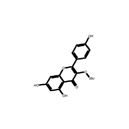 CC(C)(C)Oc1c(-c2ccc(O)cc2)oc2cc(O)cc(O)c2c1=O